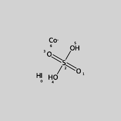 I.O=S(=O)(O)O.[Co]